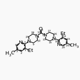 CCc1cc(C)cnc1N1CCN(C(=O)N2CCN(c3ncc(C)cc3CC)CC2)CC1